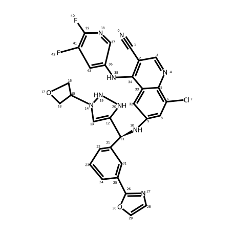 N#Cc1cnc2c(Cl)cc(N[C@H](C3=CN(C4COC4)NN3)c3cccc(-c4ncco4)c3)cc2c1Nc1cnc(F)c(F)c1